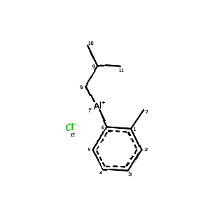 Cc1cccc[c]1[Al+][CH2]C(C)C.[Cl-]